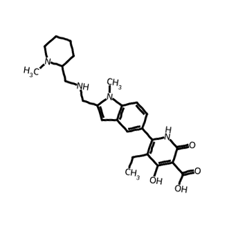 CCc1c(-c2ccc3c(c2)cc(CNCC2CCCCN2C)n3C)[nH]c(=O)c(C(=O)O)c1O